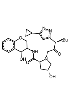 CC(C)(C)[C@@H](C(=O)CN1C[C@H](O)C[C@H]1C(=O)NC1COc2ccccc2C1O)n1cc(C2CC2)nn1